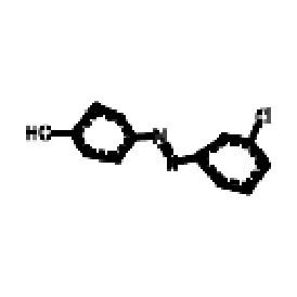 Oc1ccc(N=Nc2cccc(Cl)c2)cc1